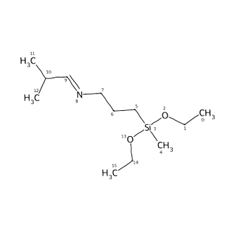 CCO[Si](C)(CCCN=CC(C)C)OCC